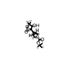 CC(C)(C)OC(=O)N1C[C@@H]2C(C3=[N+]([O-])OC(C)(C)C3O)[C@@H]2C1